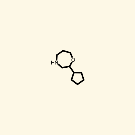 C1CNCC(C2CCCC2)OC1